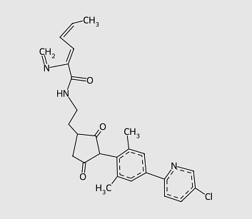 C=N/C(=C\C=C/C)C(=O)NCCC1CC(=O)C(c2c(C)cc(-c3ccc(Cl)cn3)cc2C)C1=O